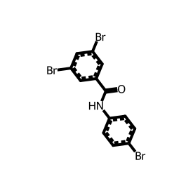 O=C(Nc1ccc(Br)cc1)c1cc(Br)cc(Br)c1